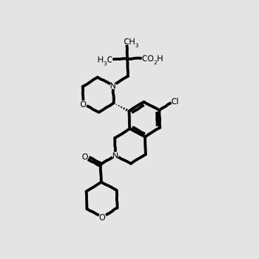 CC(C)(CN1CCOC[C@H]1c1cc(Cl)cc2c1CN(C(=O)C1CCOCC1)CC2)C(=O)O